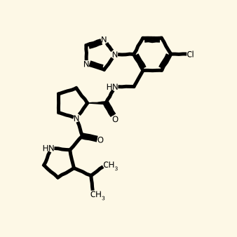 CC(C)C1CCNC1C(=O)N1CCC[C@H]1C(=O)NCc1cc(Cl)ccc1-n1cncn1